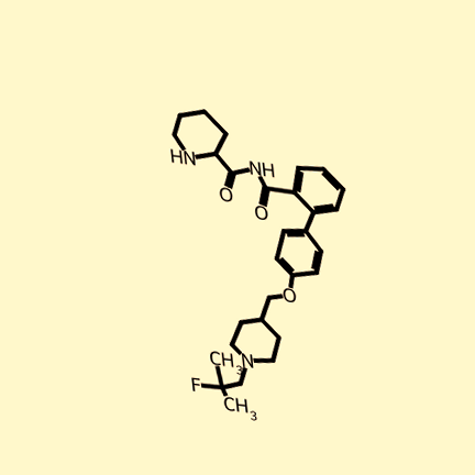 CC(C)(F)CN1CCC(COc2ccc(-c3ccccc3C(=O)NC(=O)C3CCCCN3)cc2)CC1